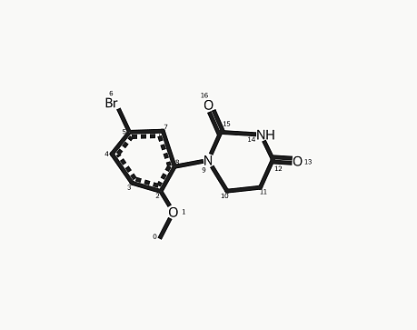 COc1ccc(Br)cc1N1CCC(=O)NC1=O